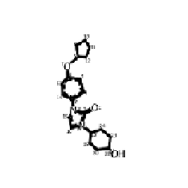 O=c1n(-c2ccc(OC3CCCC3)cc2)ccn1C1CCC(O)CC1